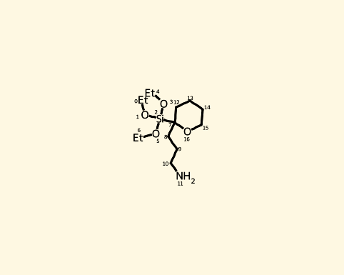 CCO[Si](OCC)(OCC)C1(CCCN)CCCCO1